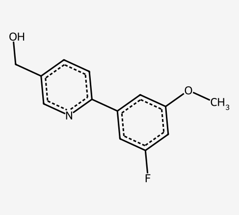 COc1cc(F)cc(-c2ccc(CO)cn2)c1